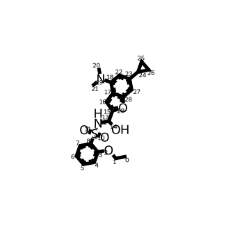 CCOc1ccccc1S(=O)(=O)NC(O)c1cc2c(N(C)C)cc(C3CC3)cc2o1